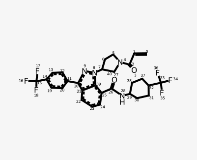 C=CC(=O)N1CCC(n2nc(-c3ccc(C(F)(F)F)cc3)c3cccc(C(=O)NC4CCC(C(F)(F)F)CC4)c32)C1